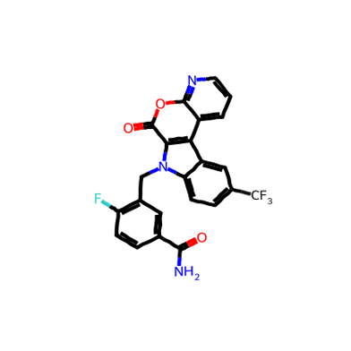 NC(=O)c1ccc(F)c(Cn2c3ccc(C(F)(F)F)cc3c3c4cccnc4oc(=O)c32)c1